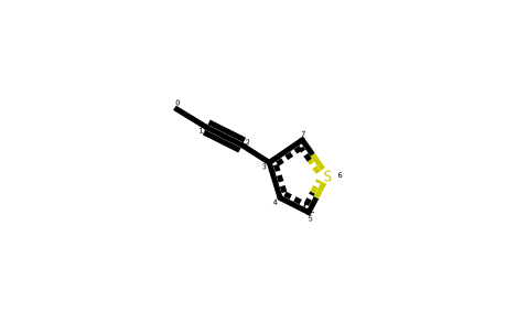 CC#Cc1c[c]sc1